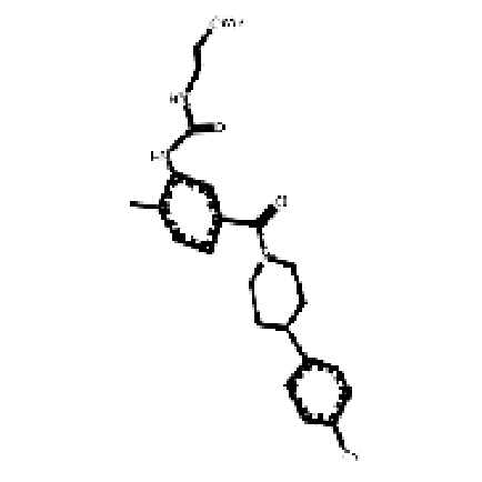 COCCNC(=O)Nc1cc(C(=O)N2CCC(c3ccc(C#N)cc3)CC2)ccc1C